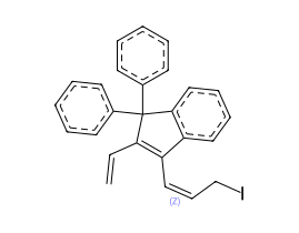 C=CC1=C(/C=C\CI)c2ccccc2C1(c1ccccc1)c1ccccc1